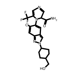 NC(=O)C1C=NC=C(C(F)(F)F)N1c1cc2cn(C3CCC(CO)CC3)nc2cc1Cl